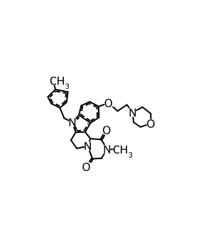 Cc1ccc(Cn2c3c(c4cc(OCCN5CCOCC5)ccc42)C2C(=O)N(C)CC(=O)N2CC3)cc1